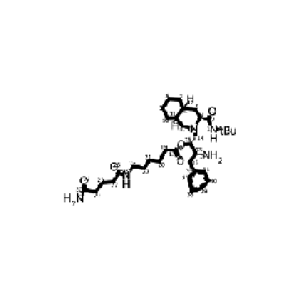 CC(C)(C)NC(=O)[C@@H]1C[C@@H]2CCCC[C@@H]2CN1C[C@@H](OC(=O)CCCCCNC(=O)CCCC(N)=O)[C@@H](N)Cc1ccccc1